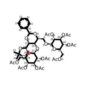 CC(=O)OC[C@H]1O[C@@H](OC[C@@H]2OC(c3ccccc3)O[C@H]([C@H]3COC(C)(C)O3)[C@@H]2O[C@@H]2O[C@H](COC(C)=O)[C@@H](OC(C)=O)[C@H](OC(C)=O)[C@H]2OC(C)=O)[C@H](OC(C)=O)[C@@H](OC(C)=O)[C@@H]1OC(C)=O